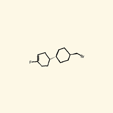 FC1=CCC([C@H]2CC[C@H](CBr)CC2)CC1